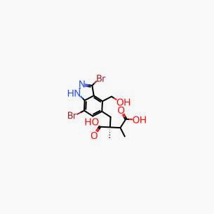 CC(C(=O)O)[C@](C)(Cc1cc(Br)c2[nH]nc(Br)c2c1CO)C(=O)O